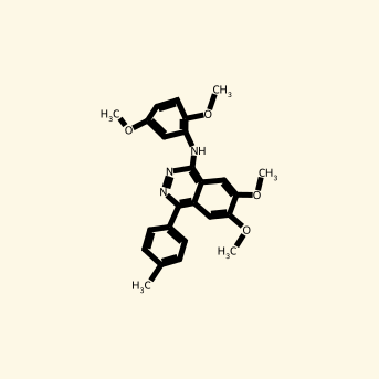 COc1ccc(OC)c(Nc2nnc(-c3ccc(C)cc3)c3cc(OC)c(OC)cc23)c1